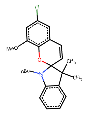 CCCCN1c2ccccc2C(C)(C)C12C=Cc1cc(Cl)cc(OC)c1O2